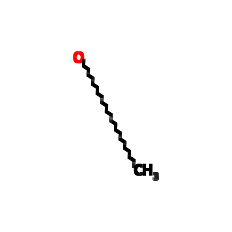 CCCCCCCCCCCCCCCCCCCCCCCCC=O